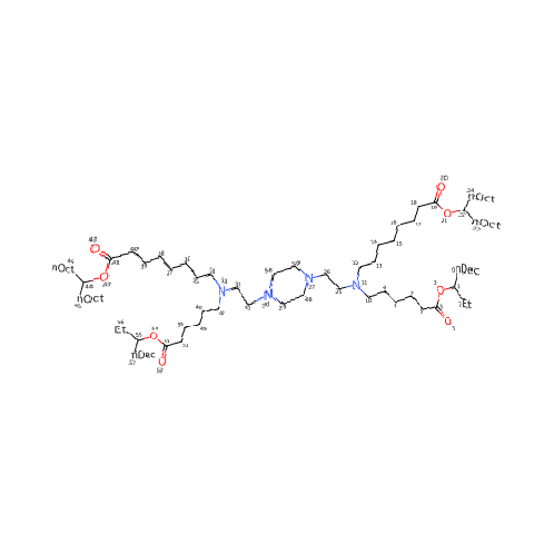 CCCCCCCCCCC(CC)OC(=O)CCCCCN(CCCCCCCC(=O)OC(CCCCCCCC)CCCCCCCC)CCN1CCN(CCN(CCCCCCCC(=O)OC(CCCCCCCC)CCCCCCCC)CCCCCC(=O)OC(CC)CCCCCCCCCC)CC1